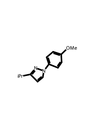 COc1ccc(-n2ccc(C(C)C)n2)cc1